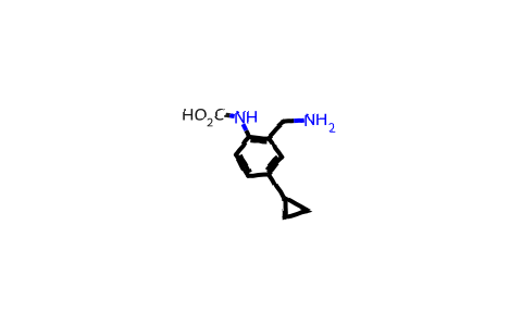 NCc1cc(C2CC2)ccc1NC(=O)O